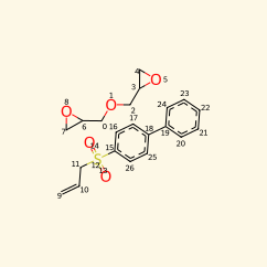 C(OCC1CO1)C1CO1.C=CCS(=O)(=O)c1ccc(-c2ccccc2)cc1